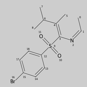 C/C=N\C(=C(/C)C(C)C)S(=O)(=O)c1ccc(Br)cc1